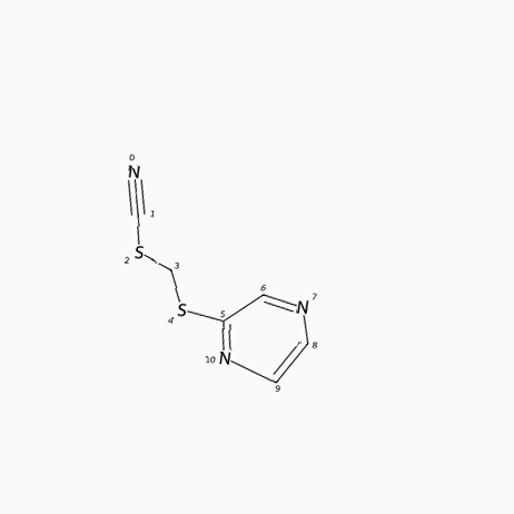 N#CSCSc1cnccn1